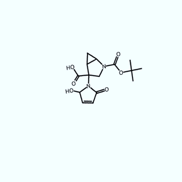 CC(C)(C)OC(=O)N1CC(C(=O)O)(N2C(=O)C=CC2O)C2CC21